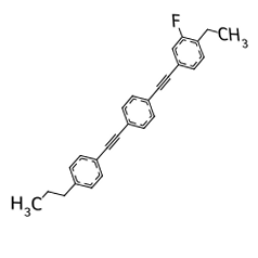 CCCc1ccc(C#Cc2ccc(C#Cc3ccc(CC)c(F)c3)cc2)cc1